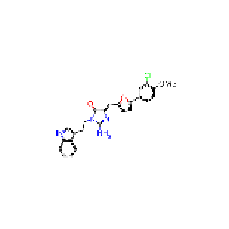 COc1ccc(-c2ccc(C=C3N=C(N)N(CCc4c[nH]c5ccccc45)C3=O)o2)cc1Cl